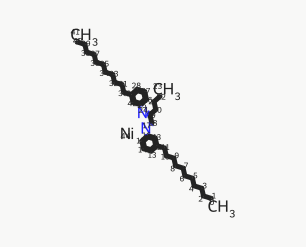 CCCCCCCCCCCCc1cccc(N=CC(CCCC)=Nc2cccc(CCCCCCCCCCCC)c2)c1.[Ni]